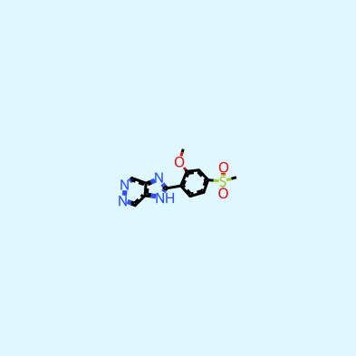 COc1cc(S(C)(=O)=O)ccc1-c1nc2cnncc2[nH]1